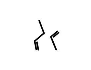 [CH2]C=C.[CH]=CCC